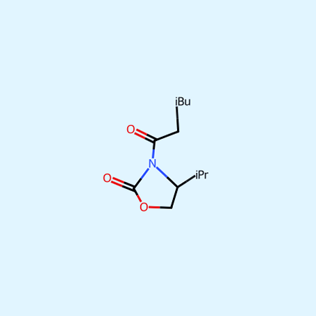 CCC(C)CC(=O)N1C(=O)OCC1C(C)C